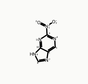 O=[N+]([O-])c1ncc2nc[nH]c2n1